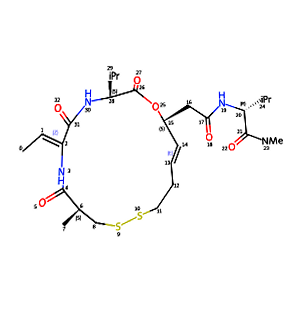 C/C=C1\NC(=O)[C@H](C)CSSCC/C=C/[C@H](CC(=O)N[C@@H](C(=O)NC)C(C)C)OC(=O)[C@H](C(C)C)NC1=O